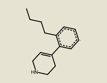 CCCCc1cc[c]cc1C1=CCNCC1